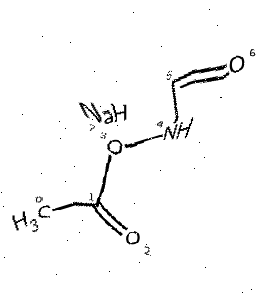 CC(=O)ONC=O.[NaH]